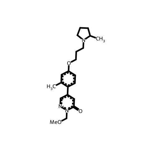 COCn1ncc(-c2ccc(OCCCN3CCCC3C)cc2C)cc1=O